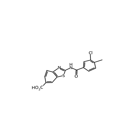 Cc1ccc(C(=O)Nc2nc3ccc(C(=O)O)cc3s2)cc1Cl